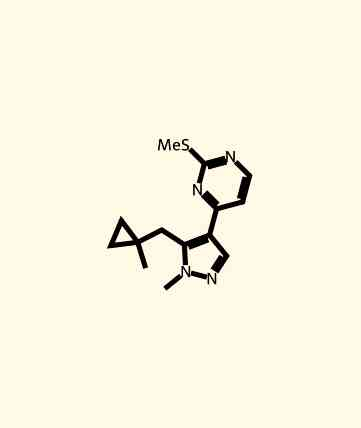 CSc1nccc(-c2cnn(C)c2CC2(C)CC2)n1